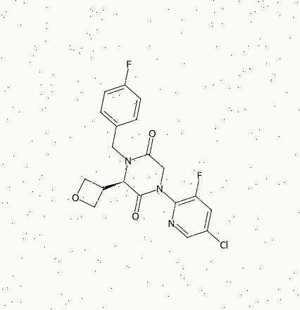 O=C1[C@@H](C2COC2)N(Cc2ccc(F)cc2)C(=O)CN1c1ncc(Cl)cc1F